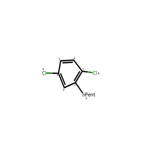 [CH2]CCCCc1cc(Cl)ccc1Cl